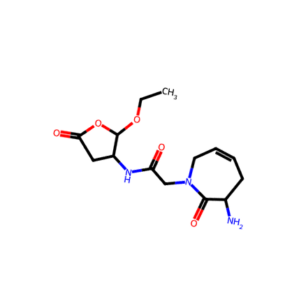 CCOC1OC(=O)CC1NC(=O)CN1CC=CCC(N)C1=O